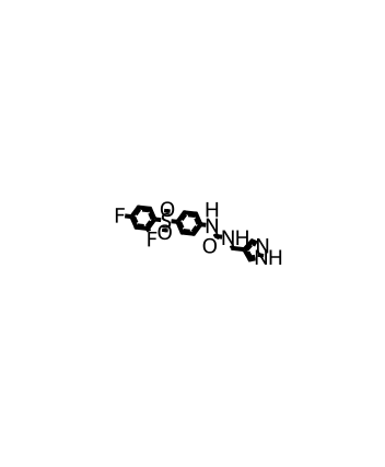 O=C(NCc1cn[nH]c1)Nc1ccc(S(=O)(=O)c2ccc(F)cc2F)cc1